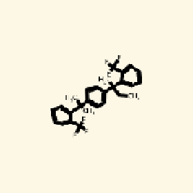 CCC(C)(c1ccc(C(C)(C)c2ccccc2C(F)(F)F)cc1)c1ccccc1C(F)(F)F